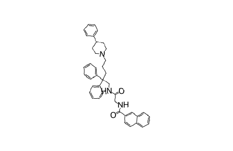 O=C(CNC(=O)c1ccc2ccccc2c1)NCC(CCCN1CCC(c2ccccc2)CC1)(c1ccccc1)c1ccccc1